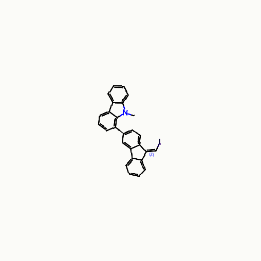 Cn1c2ccccc2c2cccc(-c3ccc4c(c3)-c3ccccc3/C4=C/I)c21